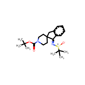 CC(C)(C)OC(=O)N1CCC2(CC1)Cc1ccccc1/C2=N\[S@@+]([O-])C(C)(C)C